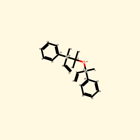 C=C[Si](C)(OC(C)(C)[Si](C)(C=C)c1ccccc1)c1ccccc1